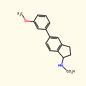 O=C(O)NC1CCc2cc(-c3cccc(OC(F)(F)F)c3)ccc21